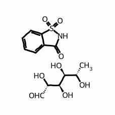 C[C@H](O)[C@H](O)[C@@H](O)[C@@H](O)C=O.O=C1NS(=O)(=O)c2ccccc21